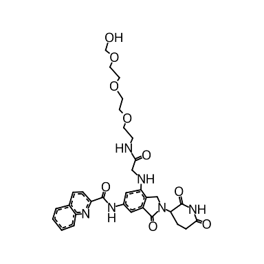 O=C(CNc1cc(NC(=O)c2ccc3ccccc3n2)cc2c1CN(C1CCC(=O)NC1=O)C2=O)NCCOCCOCCOCO